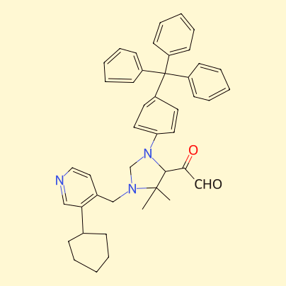 CC1(C)C(C(=O)C=O)N(c2ccc(C(c3ccccc3)(c3ccccc3)c3ccccc3)cc2)CN1Cc1ccncc1C1CCCCC1